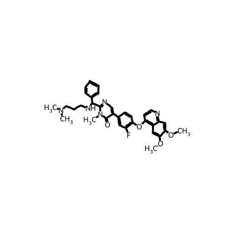 COc1cc2nccc(Oc3ccc(-c4cnc(C(NCCCN(C)C)c5ccccc5)n(C)c4=O)cc3F)c2cc1OC